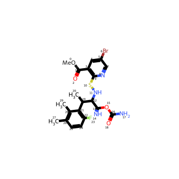 COC(=O)c1cc(Br)cnc1SNC(C(=N)OC(N)=O)C(C)c1c(F)ccc(C)c1C